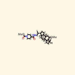 COC(=O)N1CCC(C(=O)NCC(C)[C@H]2CC[C@H]3[C@@H]4CC(OC)[C@@]56C[C@H]5CC[C@]6(C)[C@H]4CC[C@]23C)CC1